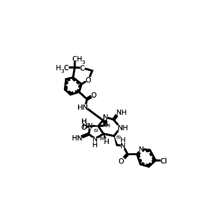 CC1(C)CCOc2c(C(=O)NC3CN4C(=N)N[C@@H](CNC(=O)c5ccc(Cl)cn5)[C@@H]5NC(=N)N[C@@]54[C@@H]3O)cccc21